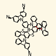 N#Cc1ccc2c(c1)c1cc(C#N)ccc1n2-c1ccc2c(c1)N(c1ccccc1-c1ccccc1)c1cc(-n3c4ccccc4c4ccccc43)cc3c1B2c1c(cc(-n2c4ccccc4c4cc(C#N)ccc42)c2c1sc1ccccc12)S3